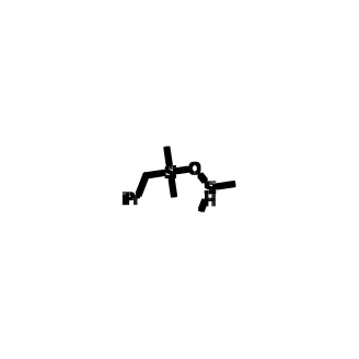 CC(C)C[Si](C)(C)O[SiH](C)C